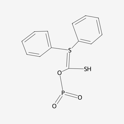 O=P(=O)OC(S)=S(c1ccccc1)c1ccccc1